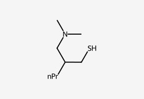 CCCC(CS)CN(C)C